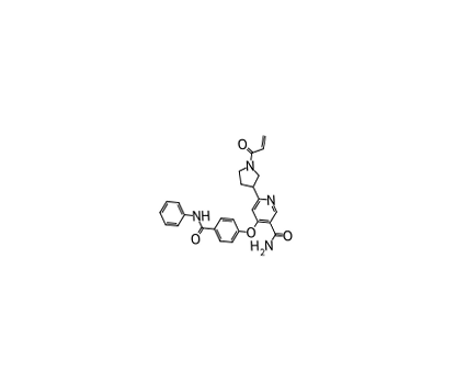 C=CC(=O)N1CCC(c2cc(Oc3ccc(C(=O)Nc4ccccc4)cc3)c(C(N)=O)cn2)C1